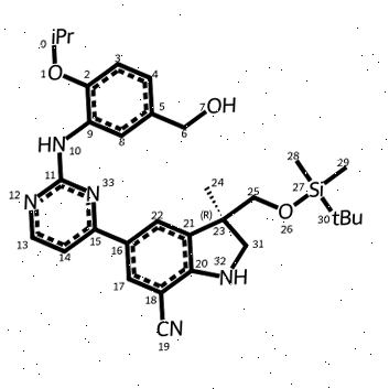 CC(C)Oc1ccc(CO)cc1Nc1nccc(-c2cc(C#N)c3c(c2)[C@@](C)(CO[Si](C)(C)C(C)(C)C)CN3)n1